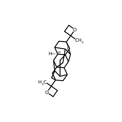 CC1(C23CC4C5CC67CC8(C9(C)CCO9)CC9C%10CC(C2)(C4C96)C(C5C3)[C@H]7C%10C8)CCO1